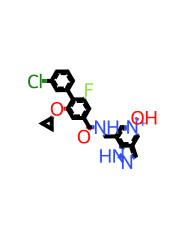 O=C(NCc1c[n+](O)cc2cn[nH]c12)c1cc(F)c(-c2cccc(Cl)c2)c(OC2CC2)c1